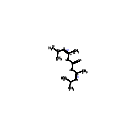 C/C(=C/C(C)C)OC(=O)O/C(C)=C\C(C)C